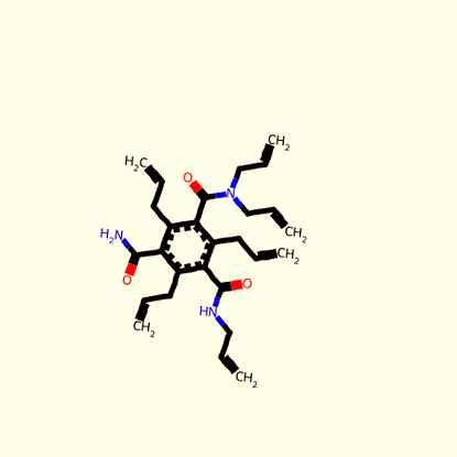 C=CCNC(=O)c1c(CC=C)c(C(N)=O)c(CC=C)c(C(=O)N(CC=C)CC=C)c1CC=C